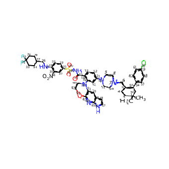 CC1(C)CCC(CN2CCN(c3ccc(C(=O)NS(=O)(=O)c4ccc(NCC5CCC(F)(F)CC5)c([N+](=O)[O-])c4)c(N4CCOc5nc6[nH]ccc6cc54)c3)CC2)=C(c2ccc(Cl)cc2)C1